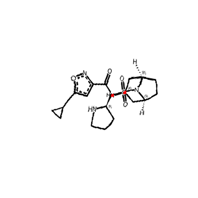 O=C(N[C@H]1C[C@H]2CC[C@@H](C1)N2S(=O)(=O)C[C@H]1CCCN1)c1cc(C2CC2)on1